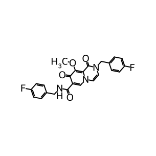 COc1c(=O)c(C(=O)NCc2ccc(F)cc2)cn2ccn(Cc3ccc(F)cc3)c(=O)c12